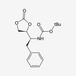 CC(C)(C)OC(=O)N[C@@H](Cc1ccccc1)[C@H]1COC(=O)O1